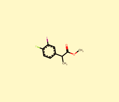 COC(=O)C(C)c1ccc(F)c(I)c1